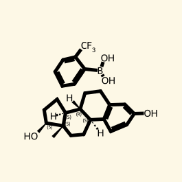 C[C@]12CC[C@@H]3c4ccc(O)cc4CC[C@H]3[C@@H]1CC[C@@H]2O.OB(O)c1ccccc1C(F)(F)F